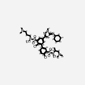 CCN(CCCN(C)C)S(=O)(=O)c1cc(-c2nn(C)c(=NC3CCCCC3)s2)cc(-c2ccc(Cl)c(S(=O)(=O)N(CC)C(C)CN(C)C)c2)c1Cl